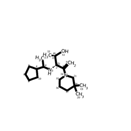 C=C([C@H](NC(C)C1CCCC1)[C@@H](C)O)N1CCCC(C)(C)C1